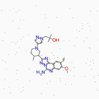 COc1cc2nc(N)n3nc(C4CN(c5cnn(CC(C)(C)O)c5)CCC4C)nc3c2cc1F